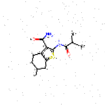 CCCC(CCC)C(=O)Nc1sc2c(c1C(N)=O)CCC(C)C2